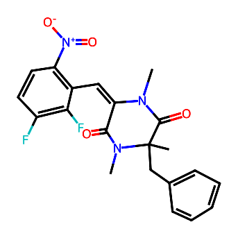 CN1C(=O)C(C)(Cc2ccccc2)N(C)C(=O)C1=Cc1c([N+](=O)[O-])ccc(F)c1F